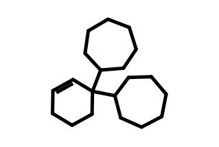 C1=CC(C2CCCCCC2)(C2CCCCCC2)CCC1